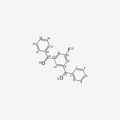 O=C(c1ccccc1)c1cc(F)cc(C(=O)c2ccccc2)c1